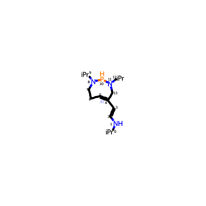 CC(C)NC=C/C1=C\CCN(C(C)C)PN(C(C)C)C1